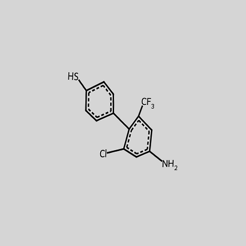 Nc1cc(Cl)c(-c2ccc(S)cc2)c(C(F)(F)F)c1